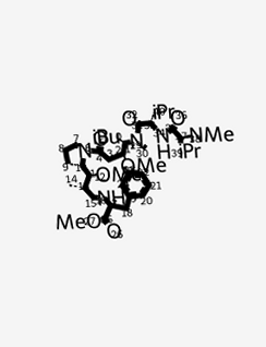 CCC(C)[C@@H]([C@@H](CC(=O)N1CCC[C@H]1[C@H](OC)[C@@H](C)CNC(Cc1ccccc1)C(=O)OC)OC)N(C)C(=O)[C@@H](NC(=O)[C@@H](NC)C(C)C)C(C)C